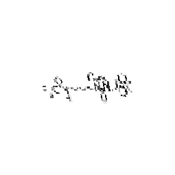 CC1(C)OCC(Cn2ccc(=O)n(CCCCCCNC(=O)C(F)(F)F)c2=O)O1